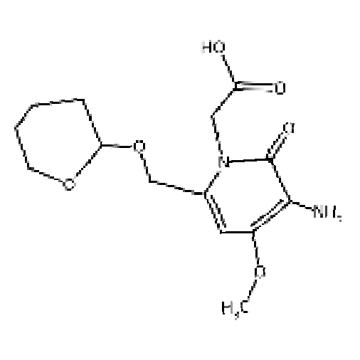 COc1cc(COC2CCCCO2)n(CC(=O)O)c(=O)c1N